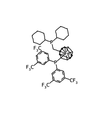 FC(F)(F)c1cc(P(c2cc(C(F)(F)F)cc(C(F)(F)F)c2)[C]23[CH]4[CH]5[CH]6[C]2(CP(C2CCCCC2)C2CCCCC2)[Fe]56432789[CH]3[CH]2[CH]7[CH]8[CH]39)cc(C(F)(F)F)c1